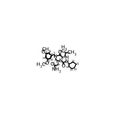 COc1cc(CN2C[C@H](CC(N)=O)N(C(=O)NC3CCCCC3)[C@@H](CC(C)C)C2=O)cc(OC)c1